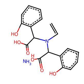 C=CN(C(C(=O)O)c1ccccc1O)C(C(=O)O)c1ccccc1O.N